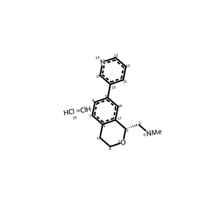 CNC[C@@H]1OCCc2ccc(-c3cccnc3)cc21.Cl.Cl